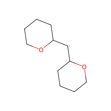 [CH](C1CCCCO1)C1CCCCO1